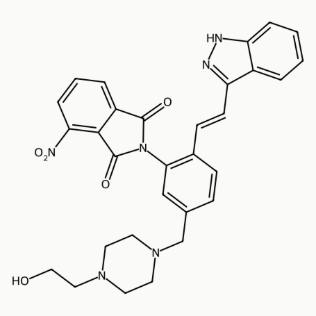 O=C1c2cccc([N+](=O)[O-])c2C(=O)N1c1cc(CN2CCN(CCO)CC2)ccc1C=Cc1n[nH]c2ccccc12